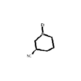 CCN1CCC[C@@H](C#N)C1